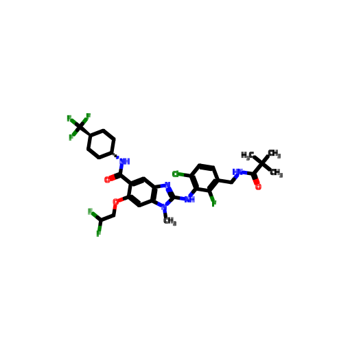 Cn1c(Nc2c(Cl)ccc(CNC(=O)C(C)(C)C)c2F)nc2cc(C(=O)N[C@H]3CC[C@H](C(F)(F)F)CC3)c(OCC(F)F)cc21